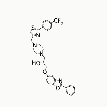 O[C@@H](COc1ccc2oc(-c3ccccc3)nc2c1)CN1CCN(Cc2csc(-c3ccc(C(F)(F)F)cc3)n2)CC1